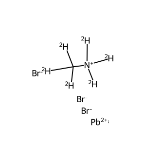 [2H]C([2H])([2H])[N+]([2H])([2H])[2H].[Br-].[Br-].[Br-].[Pb+2]